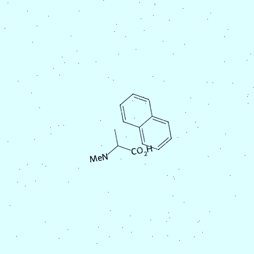 CNC(C)C(=O)O.c1ccc2ccccc2c1